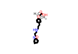 CC(C)(Oc1ccc(CCCNCCc2nc3ccccc3o2)cc1)C(=O)O